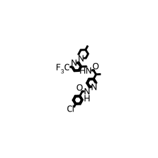 CC1CCN(c2nc(C(F)(F)F)ccc2CNC(=O)C(C)c2ccc(NC(=O)c3ccc(Cl)cc3)nc2)CC1